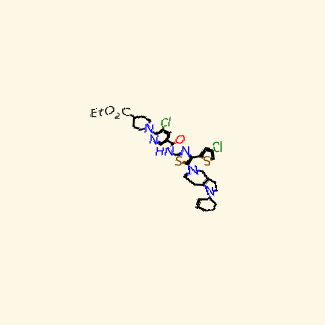 CCOC(=O)C1CCN(c2ncc(C(=O)Nc3nc(-c4cc(Cl)cs4)c(N4CCC5C(CCN5C5CCCCC5)C4)s3)cc2Cl)CC1